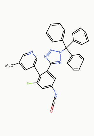 COc1cncc(-c2c(F)cc(N=C=O)cc2-c2nnn(C(c3ccccc3)(c3ccccc3)c3ccccc3)n2)c1